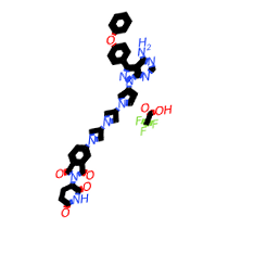 Nc1ncnc2c1c(-c1ccc(Oc3ccccc3)cc1)nn2-c1ccn(C2CN(C3CN(c4ccc5c(c4)C(=O)N(C4CCC(=O)NC4=O)C5=O)C3)C2)c1.O=C(O)C(F)(F)F